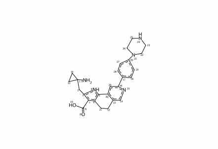 NC1(Cc2[nH]c3c(c2C(=O)O)CCc2cnc(-c4ccc(N5CCNCC5)cc4)cc2-3)CC1